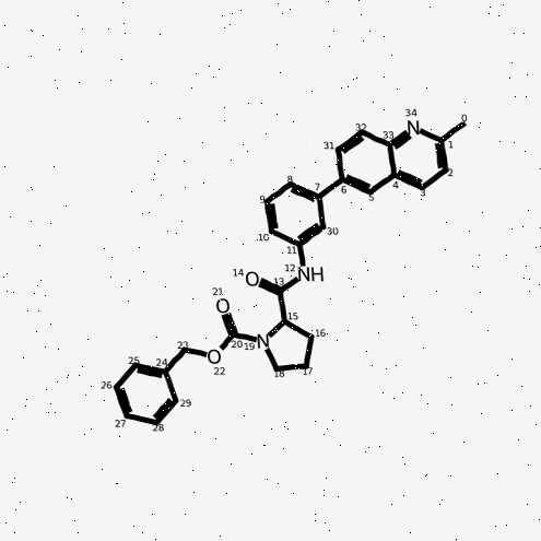 Cc1ccc2cc(-c3cccc(NC(=O)C4CCCN4C(=O)OCc4ccccc4)c3)ccc2n1